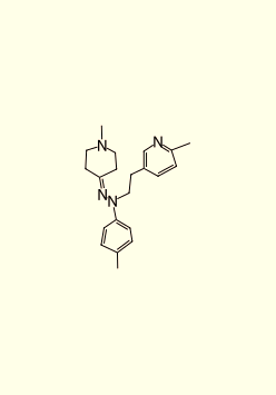 Cc1ccc(N(CCc2ccc(C)nc2)N=C2CCN(C)CC2)cc1